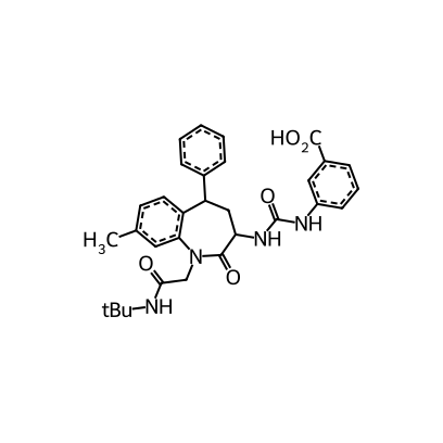 Cc1ccc2c(c1)N(CC(=O)NC(C)(C)C)C(=O)C(NC(=O)Nc1cccc(C(=O)O)c1)CC2c1ccccc1